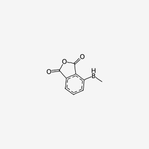 CBc1cccc2c1C(=O)OC2=O